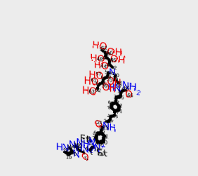 CCn1c(CNC(=O)c2nc3cc[nH]c3nc2N)[n+](CC)c2ccc(C(=O)NCCCCc3ccc(CCC(NCCCN(CC(O)C(O)C(O)C(O)CO)CC(O)C(O)C(O)C(O)CO)C(N)=O)cc3)cc21